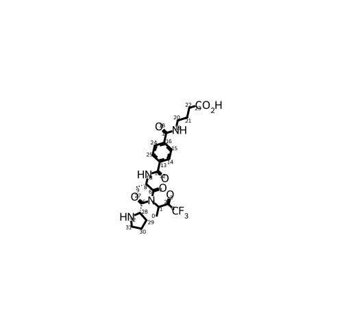 CC(C(=O)C(F)(F)F)N(C(=O)[C@H](C)NC(=O)c1ccc(C(=O)NCCCC(=O)O)cc1)C(=O)[C@@H]1CCCN1